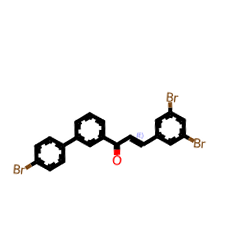 O=C(/C=C/c1cc(Br)cc(Br)c1)c1cccc(-c2ccc(Br)cc2)c1